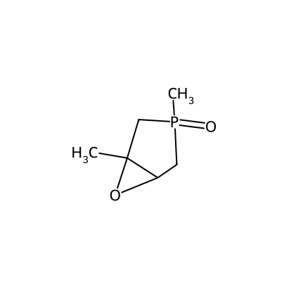 CC12CP(C)(=O)CC1O2